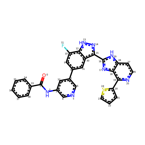 O=C(Nc1cncc(-c2cc(F)c3[nH]nc(-c4nc5c(-c6cccs6)nccc5[nH]4)c3c2)c1)c1ccccc1